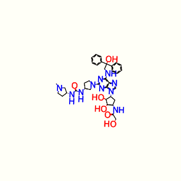 CN1CC[C@@H](NC(=O)N[C@@H]2CCN(c3nc(NCC(O)(c4ccccc4)c4ccccc4)c4ncn([C@@H]5C[C@H](NC(=O)CO)[C@@H](O)[C@H]5O)c4n3)C2)C1